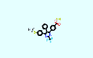 CSc1ccc(-c2nc(C(F)(F)F)nc(-c3ccc(C(=O)OS)cc3)c2-c2ccccc2)cc1